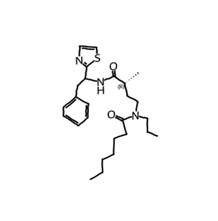 CCCCCCC(=O)N(CCC)CC[C@@H](C)C(=O)NC(Cc1ccccc1)c1nccs1